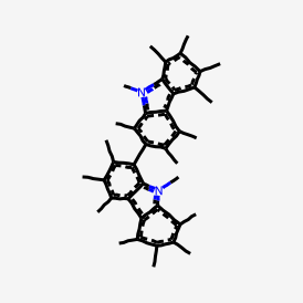 Cc1c(C)c(C)c2c(c1C)c1c(C)c(C)c(-c3c(C)c(C)c(C)c4c5c(C)c(C)c(C)c(C)c5n(C)c34)c(C)c1n2C